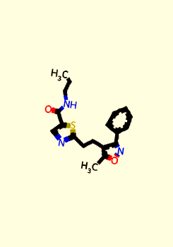 CCCNC(=O)c1cnc(CCc2c(-c3ccccc3)noc2C)s1